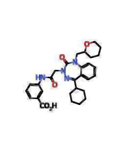 O=C(CN1N=C(C2CCCCC2)c2ccccc2N(CC2CCCCO2)C1=O)Nc1cccc(C(=O)O)c1